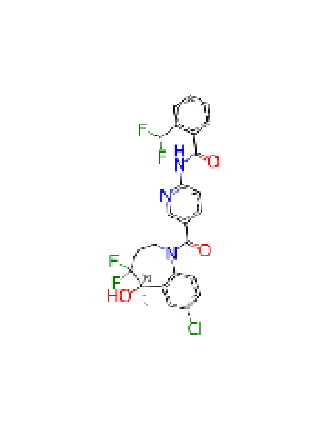 C[C@@]1(O)c2cc(Cl)ccc2N(C(=O)c2ccc(NC(=O)c3ccccc3C(F)F)nc2)CCC1(F)F